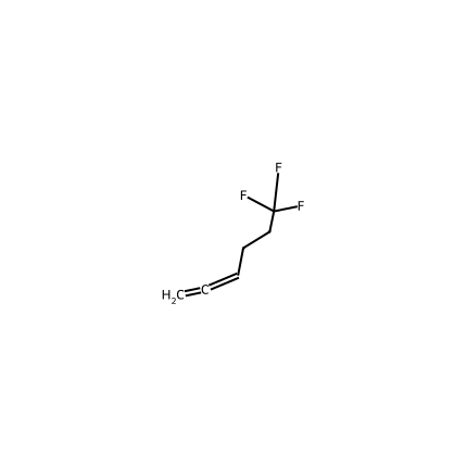 C=C=CCCC(F)(F)F